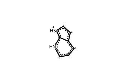 c1c[nH]c2[siH]ccc-2c1